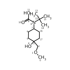 COCC1(O)CCC(N(C(=O)O)C(C)(C)C)CC1